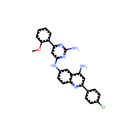 COc1ccccc1-c1cc(Nc2ccc3nc(-c4ccc(Cl)cc4)cc(N)c3c2)nc(N)n1